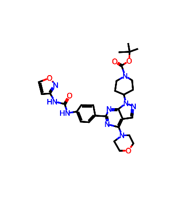 CC(C)(C)OC(=O)N1CCC(n2ncc3c(N4CCOCC4)nc(-c4ccc(NC(=O)Nc5ccon5)cc4)nc32)CC1